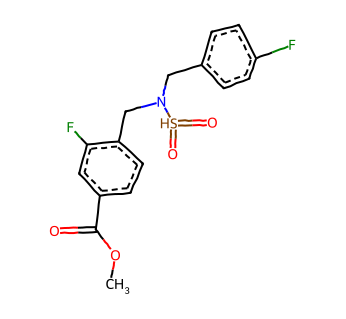 COC(=O)c1ccc(CN(Cc2ccc(F)cc2)[SH](=O)=O)c(F)c1